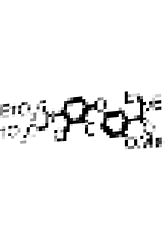 CCOC(=O)CN(C(=O)OCC)c1ccc(Oc2ccc(OC)c(C(=O)N(CC)CC)c2)c(Cl)c1Cl